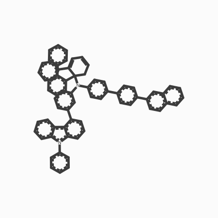 C1=CCC(c2ccccc2-c2ccccc2)(N(c2ccc(-c3ccc(-c4ccc5ccccc5c4)cc3)cc2)c2cccc(-c3cccc4c3c3ccccc3n4-c3ccccc3)c2)C(c2ccccc2)=C1